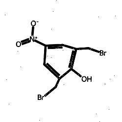 O=[N+]([O-])c1cc(CBr)c(O)c(CBr)c1